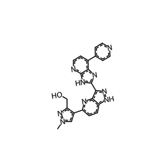 Cn1cc(-c2ccc3[nH]nc(-c4nc5c(-c6ccncc6)ccnc5[nH]4)c3n2)c(CO)n1